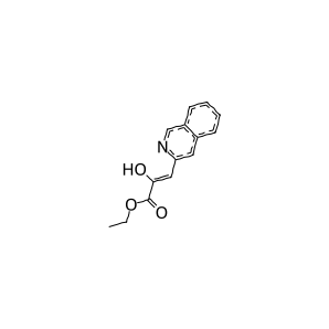 CCOC(=O)/C(O)=C/c1cc2ccccc2cn1